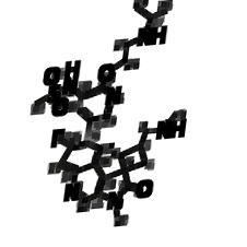 CNCC1CC2(C1)C(=O)N(C)c1cnc3cc(F)c(-c4cnc(OCCNC(C)C)c(NS(C)(=O)=O)c4)cc3c12